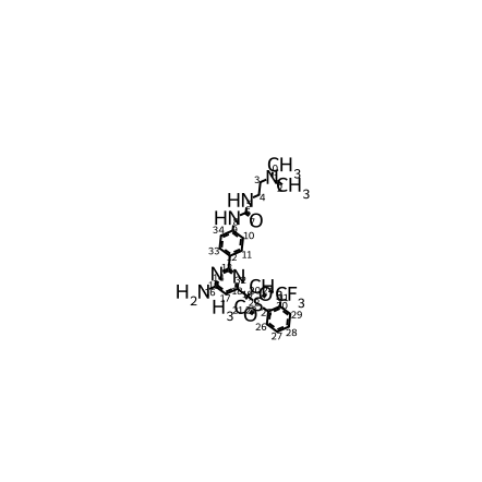 CN(C)CCNC(=O)Nc1ccc(-c2nc(N)cc(C(C)(C)S(=O)(=O)c3ccccc3C(F)(F)F)n2)cc1